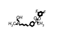 CCN(CCO)CCCCC[C@H]1CC[C@H](N(C)C(=O)Oc2cc(F)cc(F)c2)CC1